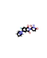 O=C1CCC(N2C(=O)c3cc(F)c(N4CC5CCC(C4)N5)cc3C2=O)C(=O)N1